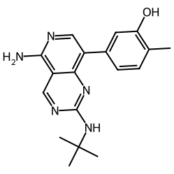 Cc1ccc(-c2cnc(N)c3cnc(NC(C)(C)C)nc23)cc1O